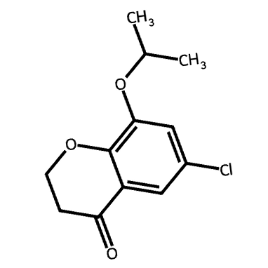 CC(C)Oc1cc(Cl)cc2c1OCCC2=O